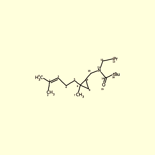 CC(C)=CCCC1(C)CC1CN(CC(C)C)C(=O)C(C)(C)C